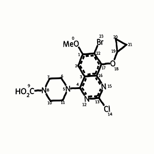 COc1cc2c(N3CCN(C(=O)O)CC3)nc(Cl)nc2c(OC2CC2)c1Br